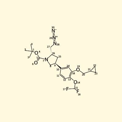 CC(C)(C)OC(=O)N1C[C@H](c2ccc(OC(F)F)c(OCC3CC3)c2)C[C@H]1CN=[N+]=[N-]